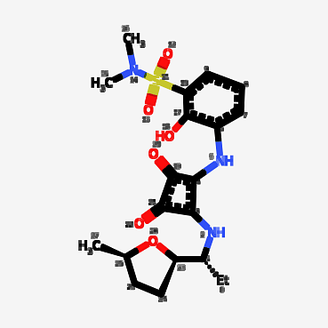 CC[C@@H](Nc1c(Nc2cccc(S(=O)(=O)N(C)C)c2O)c(=O)c1=O)[C@H]1CC[C@@H](C)O1